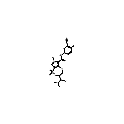 CC(C)C(O)C1COc2c(cn(C)c2C(=O)NC2C=CC(F)=C(C#N)C2)S(=O)(=O)N1